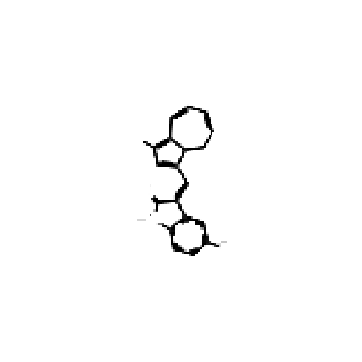 O=C1Nc2ccc(F)cc2/C1=C/C1=CC(F)=C2C=CC=CCC12